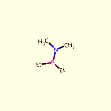 CCP(CC)N(C)C